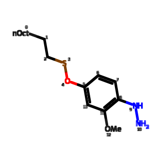 CCCCCCCCCCSOc1ccc(NN)c(OC)c1